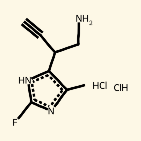 C#CC(CN)c1[nH]c(F)nc1C.Cl.Cl